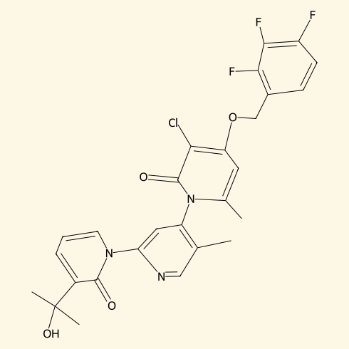 Cc1cnc(-n2cccc(C(C)(C)O)c2=O)cc1-n1c(C)cc(OCc2ccc(F)c(F)c2F)c(Cl)c1=O